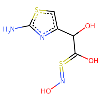 Nc1nc(C(O)C(O)=S=NO)cs1